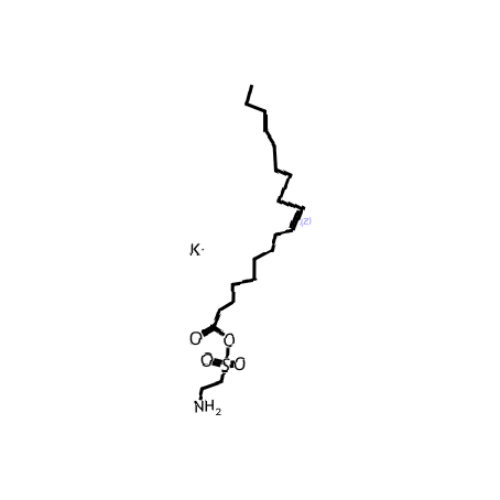 CCCCCCCC/C=C\CCCCCCCC(=O)OS(=O)(=O)CCN.[K]